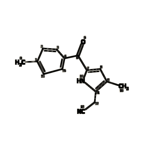 Cc1ccc(C(=O)c2cc(C)c(CC#N)[nH]2)cc1